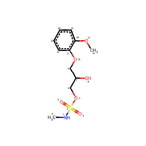 CNS(=O)(=O)OCC(O)COc1ccccc1OC